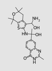 Cc1nc2cc(C(C)(O)Nc3sc4c(c3C(N)O)CC(C)(C)OC4(C)C)ccc2c(=O)[nH]1